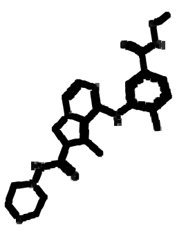 CONC(=O)c1ccc(C)c(NC2=NC=CN3CC(C(=O)NN4CCOCC4)C(C)=C23)c1